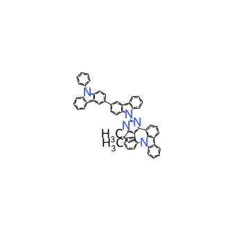 CC1(C)C=Cc2c(-c3cccc4c5ccccc5n(-c5ccccc5)c34)nc(-n3c4ccccc4c4cc(-c5ccc6c(c5)c5ccccc5n6-c5ccccc5)ccc43)nc21